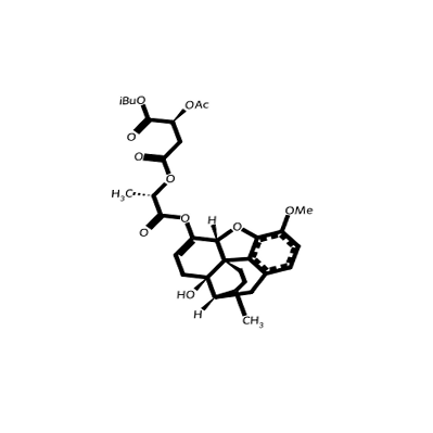 COc1ccc2c3c1O[C@H]1C(OC(=O)[C@H](C)OC(=O)C[C@H](OC(C)=O)C(=O)OCC(C)C)=CC[C@@]4(O)[C@@H](C2)C(C)CC[C@]314